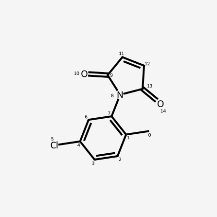 Cc1ccc(Cl)cc1N1C(=O)C=CC1=O